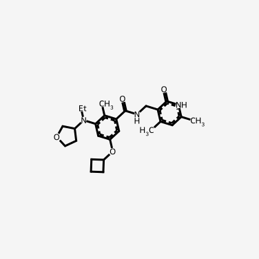 CCN(c1cc(OC2CCC2)cc(C(=O)NCc2c(C)cc(C)[nH]c2=O)c1C)C1CCOC1